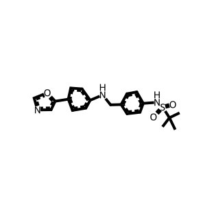 CC(C)(C)S(=O)(=O)Nc1ccc(CNc2ccc(-c3cnco3)cc2)cc1